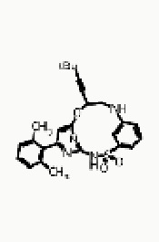 Cc1cccc(C)c1-c1cc2nc(n1)NS(=O)(=O)c1cccc(c1)NCC(C#CC(C)(C)C)O2